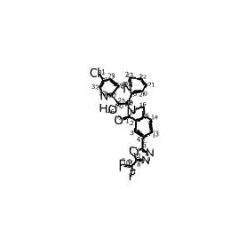 O=C1c2cc(-c3nnc(C(F)F)o3)ccc2CN1[C@H](c1ccccn1)[C@@H](O)c1ccc(Cl)cn1